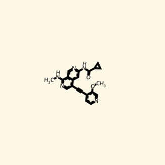 CNc1ncc(C#Cc2ccncc2OC)c2cc(NC(=O)C3CC3)ncc12